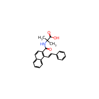 CC(C)(NC(=O)c1ccc2ccccc2c1C=Cc1ccccc1)C(=O)O